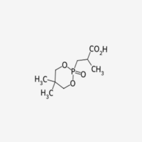 CC(CP1(=O)OCC(C)(C)CO1)C(=O)O